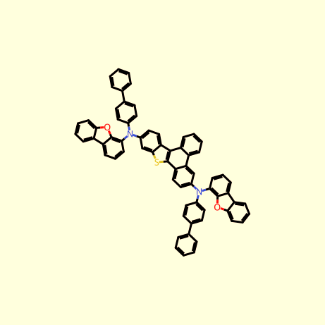 c1ccc(-c2ccc(N(c3ccc4c(c3)sc3c5ccc(N(c6ccc(-c7ccccc7)cc6)c6cccc7c6oc6ccccc67)cc5c5ccccc5c43)c3cccc4c3oc3ccccc34)cc2)cc1